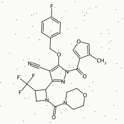 Cc1cocc1C(=O)n1nc(C2C(C(F)(F)F)CN2C(=O)N2CCOCC2)c(C#N)c1OCc1ccc(F)cc1